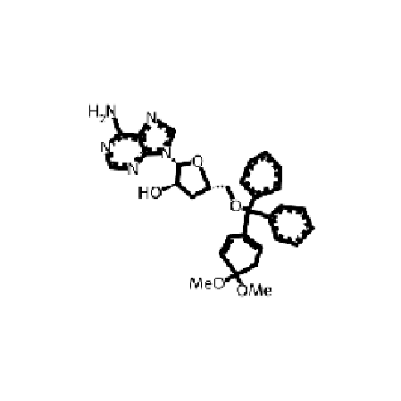 COC1(OC)C=CC(C(OC[C@@H]2C[C@@H](O)[C@H](n3cnc4c(N)ncnc43)O2)(c2ccccc2)c2ccccc2)=CC1